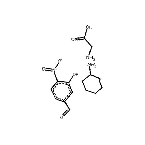 NC1CCCCC1.NCC(=O)O.O=Cc1ccc([N+](=O)[O-])c(O)c1